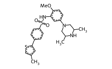 COc1ccc(N2CC(C)NC(C)C2)cc1NS(=O)(=O)c1ccc(-c2cc(C)cs2)cc1